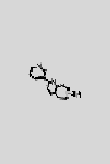 c1cncc(-c2ccc3c(n2)CCNCC3)c1